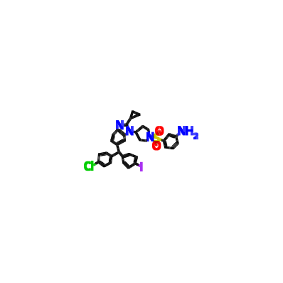 Nc1cccc(S(=O)(=O)N2CCC(n3c(C4CC4)nc4ccc(C(c5ccc(Cl)cc5)c5ccc(I)cc5)cc43)CC2)c1